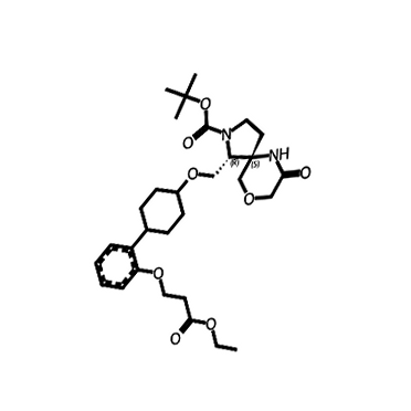 CCOC(=O)CCOc1ccccc1C1CCC(OC[C@@H]2N(C(=O)OC(C)(C)C)CC[C@@]23COCC(=O)N3)CC1